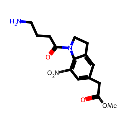 COC(=O)Cc1cc2c(c([N+](=O)[O-])c1)N(C(=O)CCCN)CC2